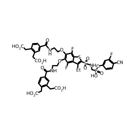 CCc1c(S(=O)(=O)NCP(=O)(O)Oc2ccc(C#N)c(F)c2)sc2c(F)c(OCCNC(=O)c3ccc(CC(=O)O)c(CC(=O)O)c3)c(OCCNC(=O)c3ccc(CC(=O)O)c(CC(=O)O)c3)c(F)c12